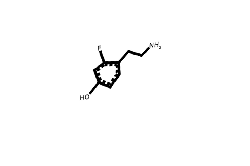 NCCc1ccc(O)cc1F